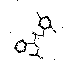 Cc1ccc(C)c(NC(=O)C(NC(=O)O)c2ccccc2)c1